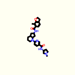 Cc1c(C(=O)NC2CC3CCCN(c4ccc(C(=O)N[C@H]5CCN(C)C5)cn4)C3C2)ccc2c1OCC2